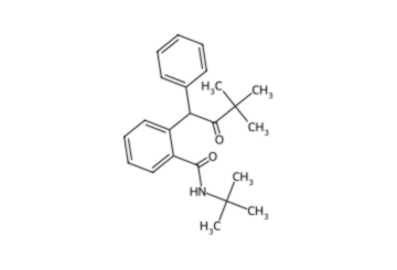 CC(C)(C)NC(=O)c1ccccc1C(C(=O)C(C)(C)C)c1ccccc1